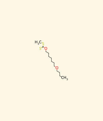 CCCCOCCCCCCCOC(=S)SC